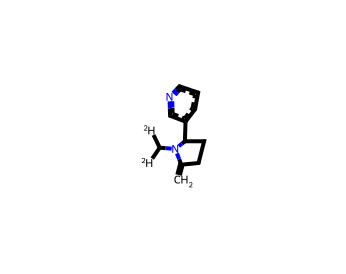 [2H]C([2H])N1C(=C)CCC1c1cccnc1